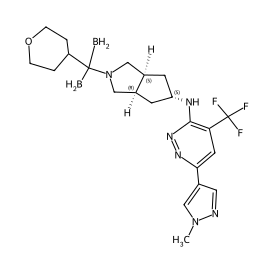 BC(B)(C1CCOCC1)N1C[C@H]2C[C@H](Nc3nnc(-c4cnn(C)c4)cc3C(F)(F)F)C[C@H]2C1